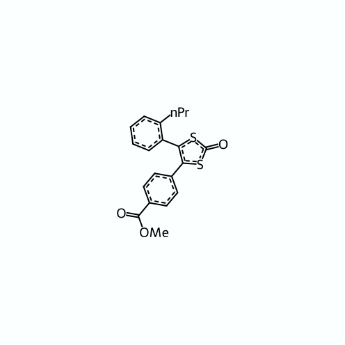 CCCc1ccccc1-c1sc(=O)sc1-c1ccc(C(=O)OC)cc1